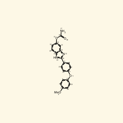 COc1ccc(Oc2ccc(-c3nc4cc(OC(N)=O)ccc4[nH]3)cc2)cc1